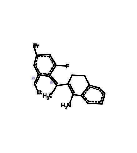 CC/C=c1/cc(C(C)C)cc(F)/c1=C(/C)C1=C(N)c2ccccc2CC1